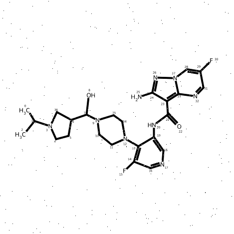 CC(C)N1CCC(C(O)N2CCN(c3c(F)cncc3NC(=O)c3c(N)nn4cc(F)cnc34)CC2)C1